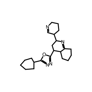 C1=NCCCC1C1CC(c2nnc(C3CCCCC3)o2)C2CCCCC2=N1